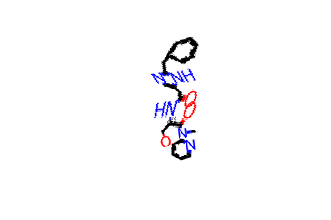 CN1C(=O)[C@@H](NC(=O)c2cnc(Cc3ccccc3)[nH]2)COc2cccnc21